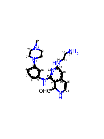 CN1CCN(c2cccc(Nc3nc(NCCN)cc4c3C(C=O)NC=C4)c2)CC1